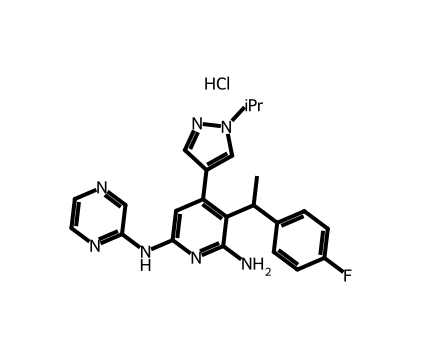 CC(c1ccc(F)cc1)c1c(-c2cnn(C(C)C)c2)cc(Nc2cnccn2)nc1N.Cl